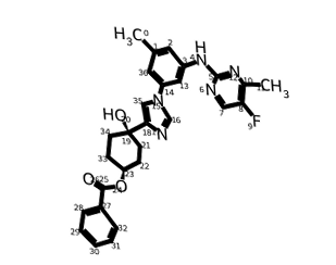 Cc1cc(Nc2ncc(F)c(C)n2)cc(-n2cnc([C@]3(O)CC[C@@H](OC(=O)c4ccccc4)CC3)c2)c1